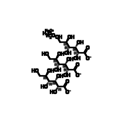 O.O.O=C([O-])[C@H](O)[C@@H](O)[C@H](O)[C@H](O)CO.O=C([O-])[C@H](O)[C@@H](O)[C@H](O)[C@H](O)CO.O=C([O-])[C@H](O)[C@@H](O)[C@H](O)[C@H](O)CO.[Fe+3]